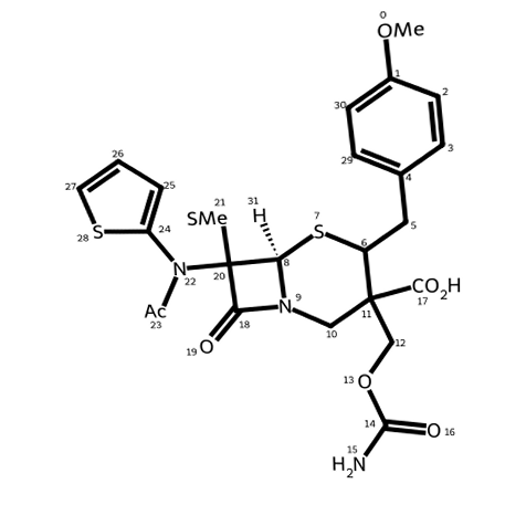 COc1ccc(CC2S[C@H]3N(CC2(COC(N)=O)C(=O)O)C(=O)C3(SC)N(C(C)=O)c2cccs2)cc1